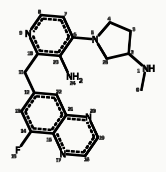 CNC1CCN(c2ccnc(Cc3cc(F)c4nccnc4c3)c2N)C1